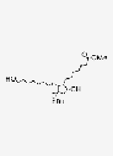 CCCCO[C@@H]1C[C@H](O)C(CCCCC=CC(=O)OC)[C@H]1/C=C/CCCCCCO